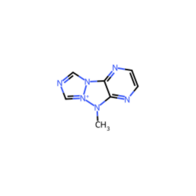 Cn1c2nccnc2n2cnc[n+]12